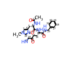 CC(=O)N[C@@H](Cc1cn(C)cn1)C(=O)N[C@@H](CCC(=O)C=N)C(=O)NCc1ccccc1